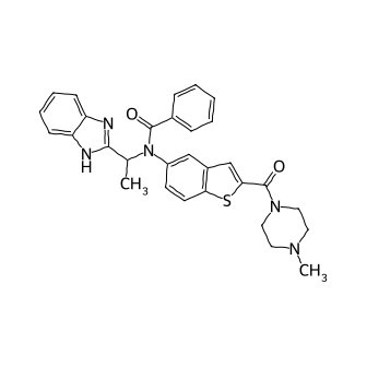 CC(c1nc2ccccc2[nH]1)N(C(=O)c1ccccc1)c1ccc2sc(C(=O)N3CCN(C)CC3)cc2c1